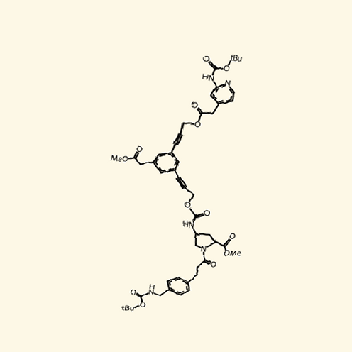 COC(=O)Cc1cc(C#CCOC(=O)Cc2ccnc(NC(=O)OC(C)(C)C)c2)cc(C#CCOC(=O)NC2CC(C(=O)OC)N(C(=O)CCc3ccc(CNC(=O)OC(C)(C)C)cc3)C2)c1